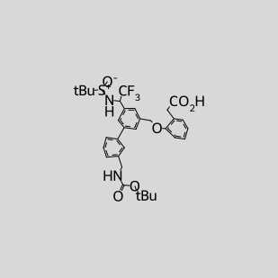 CC(C)(C)OC(=O)NCc1cccc(-c2cc(COc3ccccc3CC(=O)O)cc(C(N[S+]([O-])C(C)(C)C)C(F)(F)F)c2)c1